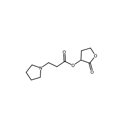 O=C(CCN1CCCC1)OC1CCOC1=O